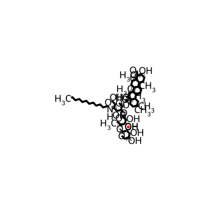 CCCCCCCCCCCC(=O)N[C@H]1C(CO)O[C@@H](OC(=O)[C@]23CCC(C)(C)CC2C2=CCC4C5(C)CC[C@H](O)[C@](C)(C=O)[C@@H]5CC[C@]4(C)[C@]2(C)CC3O)C(O[C@@H]2OC(C)[C@H](O[C@@H]3OC[C@@H](O)C(O)C3O)C(O)C2O)C1O